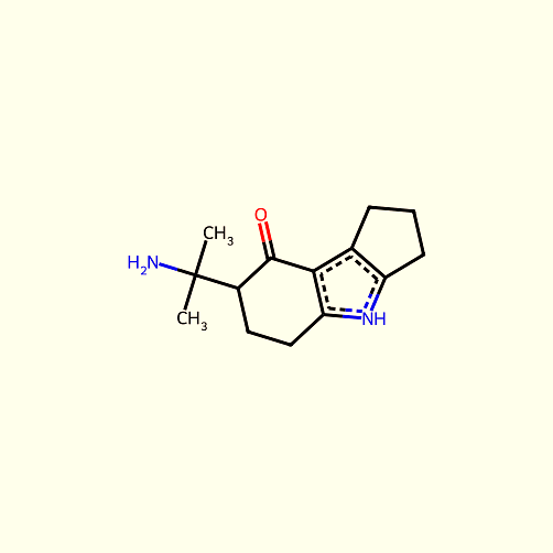 CC(C)(N)C1CCc2[nH]c3c(c2C1=O)CCC3